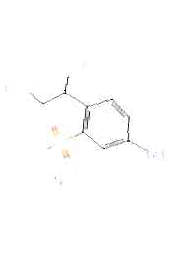 CCC(C)c1ccc(N)cc1S(=O)(=O)[O-].[Na+]